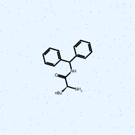 CCCC[C@H](N)C(=O)NC(c1ccccc1)c1ccccc1